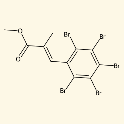 COC(=O)C(C)=Cc1c(Br)c(Br)c(Br)c(Br)c1Br